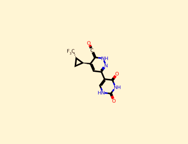 O=C=C1NN=C(c2c[nH]c(=O)[nH]c2=O)C=C1[C@H]1C[C@@H]1C(F)(F)F